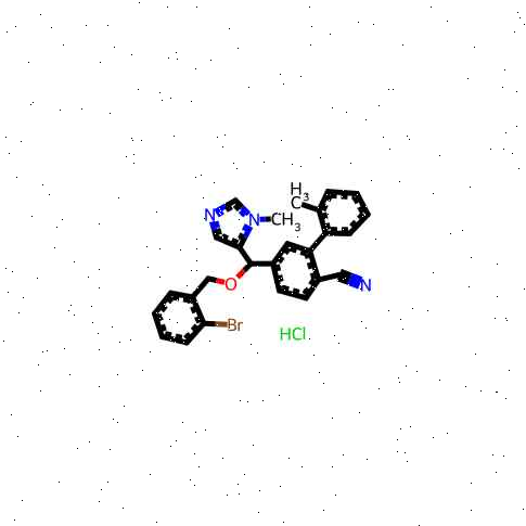 Cc1ccccc1-c1cc(C(OCc2ccccc2Br)c2cncn2C)ccc1C#N.Cl